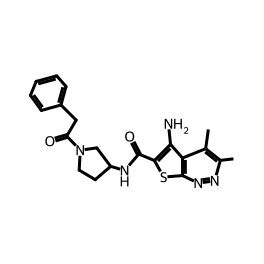 Cc1nnc2sc(C(=O)NC3CCN(C(=O)Cc4ccccc4)C3)c(N)c2c1C